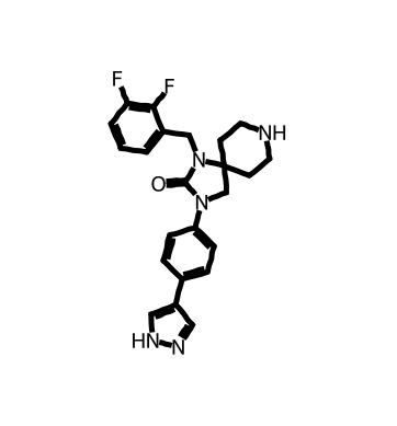 O=C1N(c2ccc(-c3cn[nH]c3)cc2)CC2(CCNCC2)N1Cc1cccc(F)c1F